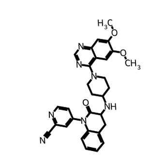 COc1cc2ncnc(N3CCC(NC4Cc5ccccc5N(c5ccnc(C#N)c5)C4=O)CC3)c2cc1OC